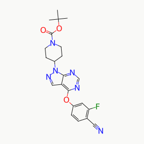 CC(C)(C)OC(=O)N1CCC(n2ncc3c(Oc4ccc(C#N)c(F)c4)ncnc32)CC1